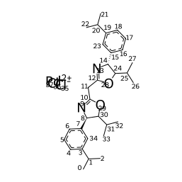 CC(C)c1cccc([C@H]2N=C(CC3=N[C@H](c4cccc(C(C)C)c4)C(C(C)C)O3)OC2C(C)C)c1.[Cl-].[Cl-].[Pd+2]